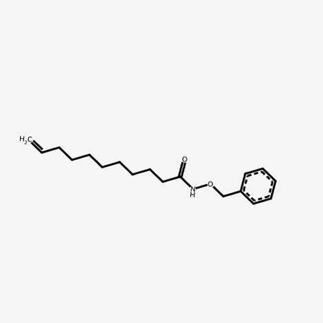 C=CCCCCCCCCC(=O)NOCc1ccccc1